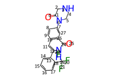 O=C1CNCCN1c1ccc2cc(-c3ccccc3C(F)(F)F)[nH]c(=O)c2c1